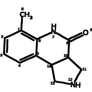 Cc1cccc2c1NC(=O)C1CNCC21